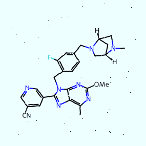 COc1nc(C)c2nc(-c3cncc(C#N)c3)n(Cc3ccc(CN4C[C@@H]5C[C@H]4CN5C)cc3F)c2n1